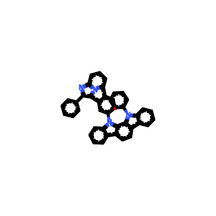 c1ccc(-c2nc3cccc4c5ccc(-n6c7ccccc7c7ccc8c9ccccc9n(-c9ccccc9)c8c76)cc5c2n34)cc1